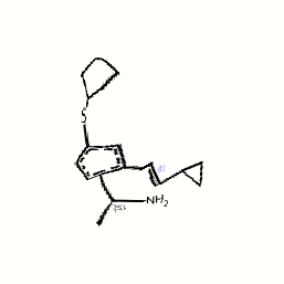 C[C@H](N)c1ccc(SC2CCCC2)cc1/C=C/C1CC1